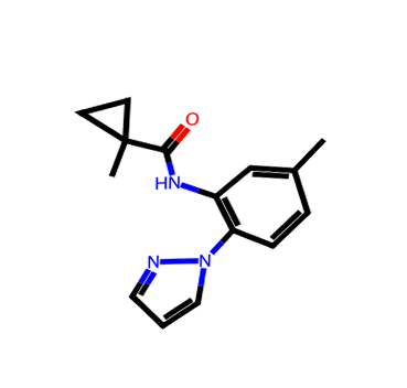 Cc1ccc(-n2cccn2)c(NC(=O)C2(C)CC2)c1